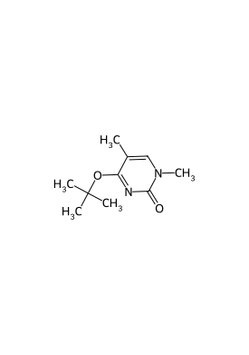 Cc1cn(C)c(=O)nc1OC(C)(C)C